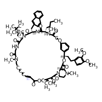 CCCC[C@H]1C(=O)N[C@@H](Cc2ccc3ccccc3c2)C(=O)N(C)[C@@H](COC(C)(C)C)C(=O)NCC(=O)N(C)CCCC/C=C/C(=O)OCC(C)(C)C(=O)C(=O)N2CCN(C)C[C@H]2C(=O)O[C@H](CCc2ccc(OC)c(OC)c2)c2cccc(c2)OCC(=O)N1C